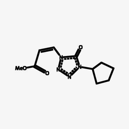 COC(=O)/C=C\n1nnn(C2CCCC2)c1=O